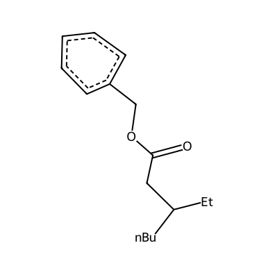 CCCCC(CC)CC(=O)OCc1ccccc1